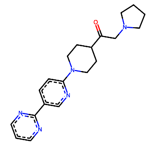 O=C(CN1CCCC1)C1CCN(c2ccc(-c3ncccn3)cn2)CC1